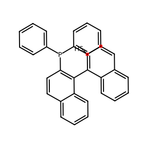 Sc1ccc2ccccc2c1-c1c(P(c2ccccc2)c2ccccc2)ccc2ccccc12